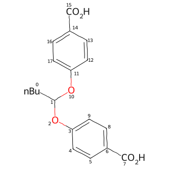 CCCCC(Oc1ccc(C(=O)O)cc1)Oc1ccc(C(=O)O)cc1